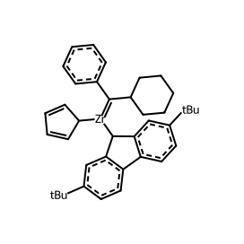 CC(C)(C)c1ccc2c(c1)[CH]([Zr](=[C](c1ccccc1)C1CCCCC1)[CH]1C=CC=C1)c1cc(C(C)(C)C)ccc1-2